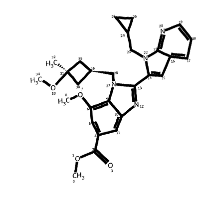 COC(=O)c1cc(OC)c2c(c1)nc(-c1cc3cccnc3n1CC1CC1)n2C[C@H]1C[C@@](C)(OC)C1